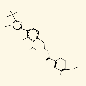 CC(C)OC1=C(C#N)C=C(C(=O)N[C@H](CCO)Cc2ccc(-c3cn(C)c(C(C)(C)O)n3)c(F)c2)CC1